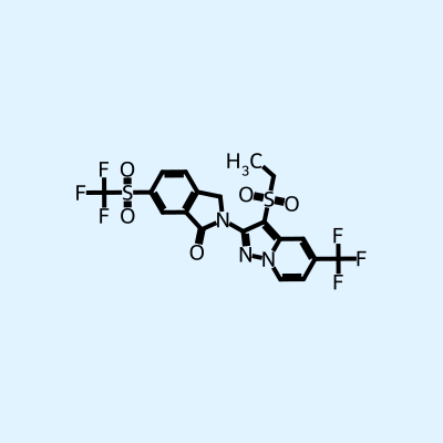 CCS(=O)(=O)c1c(N2Cc3ccc(S(=O)(=O)C(F)(F)F)cc3C2=O)nn2ccc(C(F)(F)F)cc12